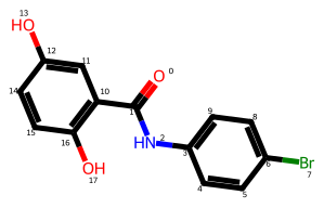 O=C(Nc1ccc(Br)cc1)c1cc(O)ccc1O